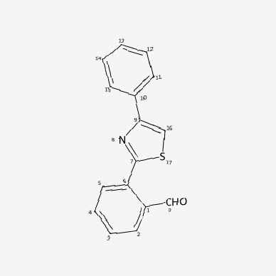 O=Cc1ccccc1-c1nc(-c2ccccc2)cs1